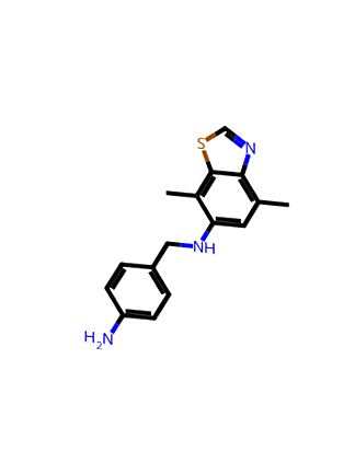 Cc1cc(NCc2ccc(N)cc2)c(C)c2scnc12